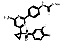 CNC(=O)Nc1ccc(-c2nc(N)cc(C3(S(=O)(=O)c4ccc(F)c(Cl)c4)CC3)n2)cc1